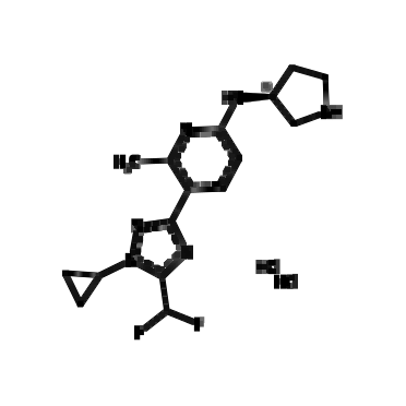 Cc1nc(N[C@H]2CCNC2)ccc1-c1nc(C(F)F)n(C2CC2)n1.Cl.Cl